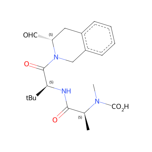 C[C@@H](C(=O)N[C@H](C(=O)N1Cc2ccccc2C[C@H]1C=O)C(C)(C)C)N(C)C(=O)O